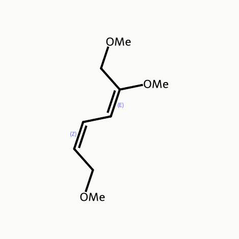 COC/C=C\C=C(/COC)OC